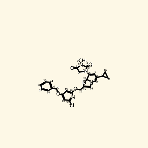 CN1C(=O)CN(c2cc(C3CC3)cn3cc(COc4cc(OCc5ccccc5)cc(Cl)n4)nc23)C1=O